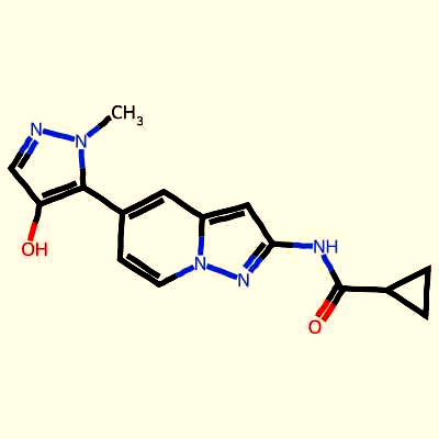 Cn1ncc(O)c1-c1ccn2nc(NC(=O)C3CC3)cc2c1